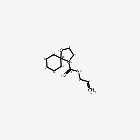 C=CCSC(=S)N1CCOC12[CH]CCCC2